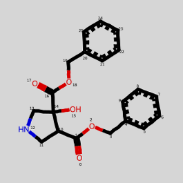 O=C(OCc1ccccc1)C1CNCC1(O)C(=O)OCc1ccccc1